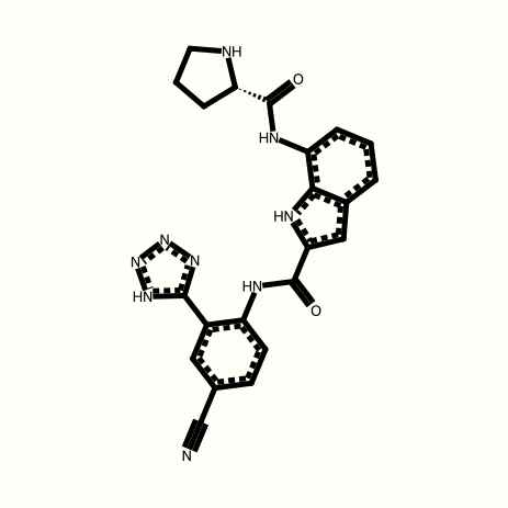 N#Cc1ccc(NC(=O)c2cc3cccc(NC(=O)[C@@H]4CCCN4)c3[nH]2)c(-c2nnn[nH]2)c1